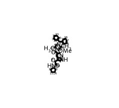 COc1nc2[nH]cc(C(=O)C(=O)NC3CCCC3)c2cc1C(=O)N1C[C@H](C)N(C(c2ccccc2)c2ccccc2)C[C@H]1C